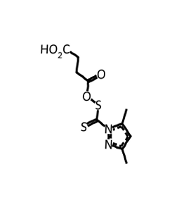 Cc1cc(C)n(C(=S)SOC(=O)CCC(=O)O)n1